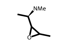 CN[C@H](C)C1OC1C